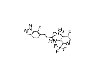 Cc1c(F)cnc(C(F)(F)F)c1NC(=O)/C=C/c1ccc2cn[nH]c2c1F